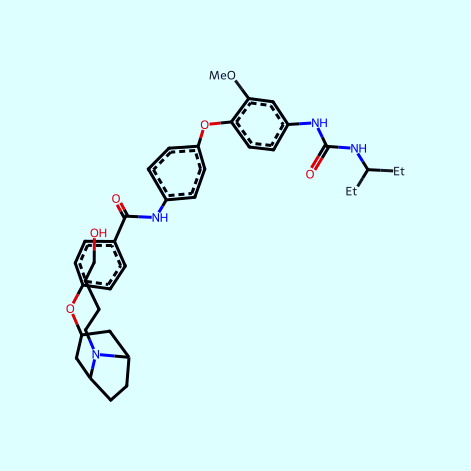 CCC(CC)NC(=O)Nc1ccc(Oc2ccc(NC(=O)c3ccc(OC4CC5CCC(C4)N5CCCCO)cc3)cc2)c(OC)c1